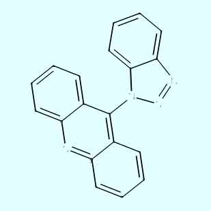 c1ccc2c(-n3nnc4ccccc43)c3ccccc3nc2c1